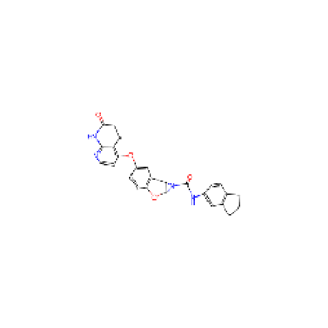 O=C1CCc2c(Oc3ccc4c(c3)C3C(O4)N3C(=O)Nc3ccc4c(c3)CCC4)ccnc2N1